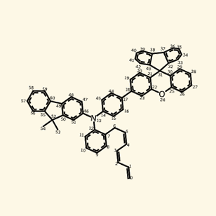 C=C/C=C\C=C/Cc1ccccc1N(c1ccc(-c2ccc3c(c2)Oc2ccccc2C32c3ccccc3-c3ccccc32)cc1)c1ccc2c(c1)C(C)(C)c1ccccc1-2